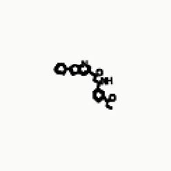 C=CC(=O)c1cccc(C(=N)CC(=O)c2cnc3c(c2)C=C(c2ccccc2)C3)c1